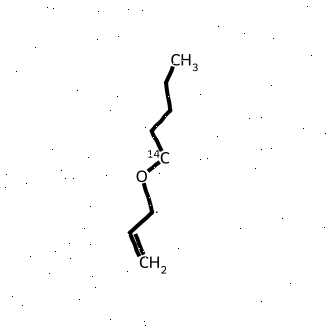 C=C[CH]O[14CH2]CCCC